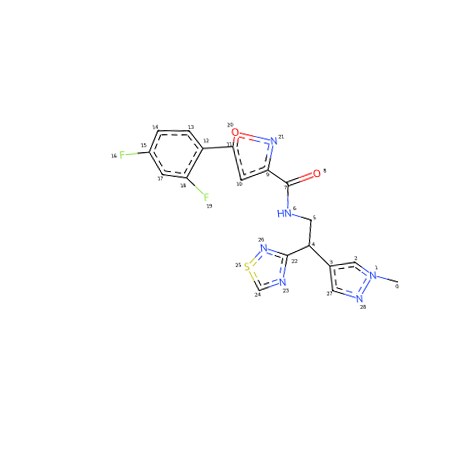 Cn1cc(C(CNC(=O)c2cc(-c3ccc(F)cc3F)on2)c2ncsn2)cn1